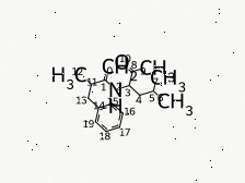 C=C(NC(CC(C)C)C(C)=O)C(C)Cc1ccccc1